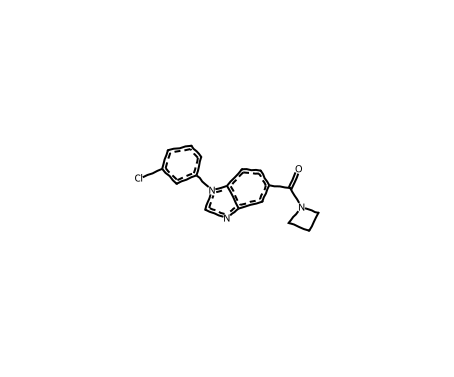 O=C(c1ccc2c(c1)ncn2-c1cccc(Cl)c1)N1CCC1